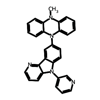 CN1c2ccccc2N(c2ccc3c(c2)c2ncccc2n3-c2cccnc2)c2ccccc21